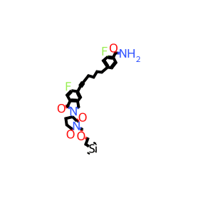 C[Si](C)(C)CCOCN1C(=O)CCC(N2Cc3cc(C#CCCCCc4ccc(C(N)=O)c(F)c4)c(F)cc3C2=O)C1=O